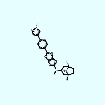 CN(c1nc2sc(-c3ccc(-c4cn[nH]c4)cn3)nc2s1)C1C[C@H]2CC[C@@H](C1)N2